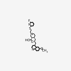 COc1ccc2nccc(CCC[C@@H]3CCN(CCSc4cccc(F)n4)C[C@@H]3C(=O)O)c2c1